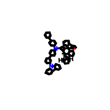 C[C@]1([C@H]2C[C@@H]3CC[C@@H](C3)C2)c2ccccc2C2(c3ccccc3-c3ccccc32)c2ccc(N(c3ccc(-c4ccccc4)cc3)c3ccc(-c4cccc(-n5c6ccccc6c6ccccc65)c4)cc3)cc21